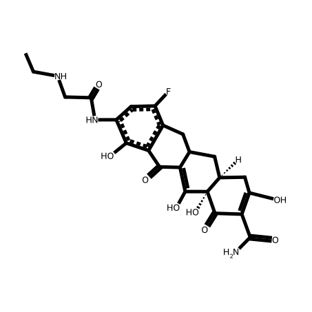 CCNCC(=O)Nc1cc(F)c2c(c1O)C(=O)C1=C(O)[C@]3(O)C(=O)C(C(N)=O)=C(O)C[C@@H]3CC1C2